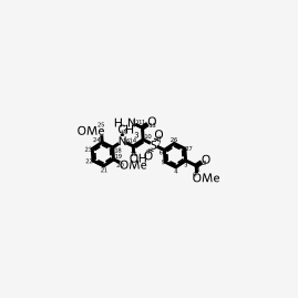 COC(=O)c1ccc(S(=O)(=O)/C(C(N)=O)=C(\O)N(C)c2c(OC)cccc2OC)cc1